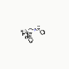 O=C(/C=C/C1C=CC(O)(NS(=O)(=O)c2ccccc2)C=C1)c1ccccc1